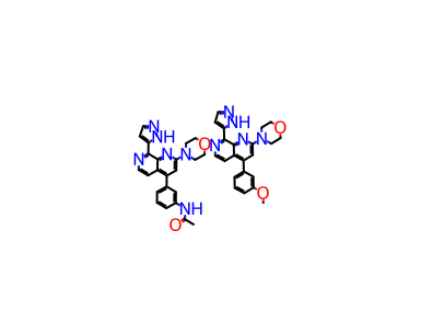 CC(=O)Nc1cccc(-c2cc(N3CCOCC3)nc3c(-c4ccn[nH]4)nccc23)c1.COc1cccc(-c2cc(N3CCOCC3)nc3c(-c4ccn[nH]4)nccc23)c1